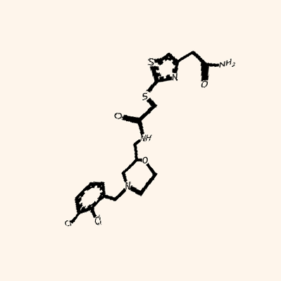 NC(=O)Cc1csc(SCC(=O)NCC2CN(Cc3cccc(Cl)c3Cl)CCO2)n1